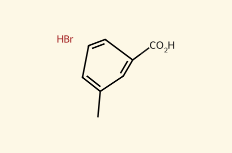 Br.Cc1cccc(C(=O)O)c1